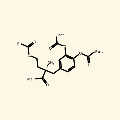 CCCC(C)C(=O)Oc1ccc(C[C@](N)(CCOC(=O)C(C)C)C(=O)OC)cc1OC(=O)C(C)CCC